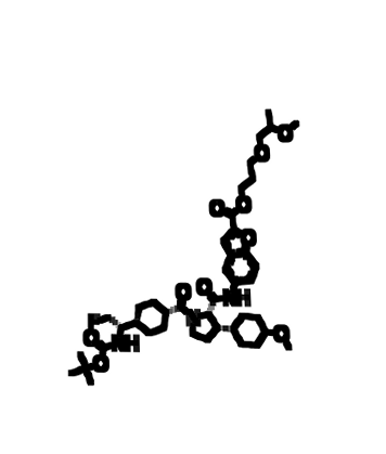 COC(C)COCCCOC(=O)c1cc2cc(NC(=O)[C@@H]3[C@H](C4CCC(OC)CC4)CCN3C(=O)[C@H]3CC[C@H]([C@@H](CF)NC(=O)OC(C)(C)C)CC3)ccc2o1